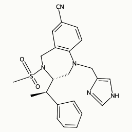 C[C@H](c1ccccc1)[C@H]1CN(Cc2c[nH]cn2)c2ccc(C#N)cc2CN1S(C)(=O)=O